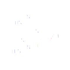 COC1CN(c2ccnc3[nH]cc(-c4ccnc(N)n4)c23)CC1F